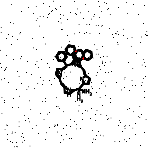 NC1(N)C2=NC(=Cc3c(-c4ccccc4)c(-c4ccccc4)c(n3-c3ccccc3)C(c3ccccc3)=C3C=CC(=N3)C=C3C=CC1N3)C=C2